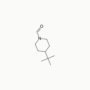 CC(C)(C)C1CCN(C=O)CC1